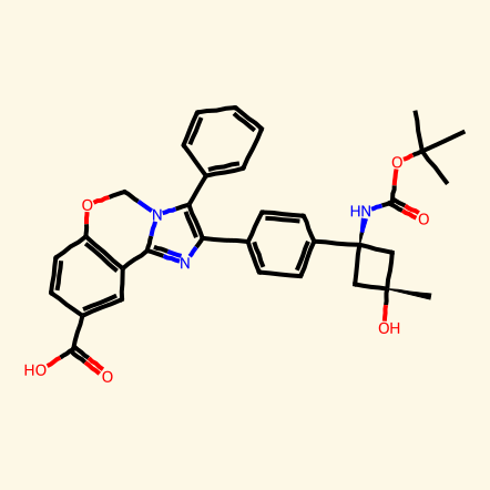 CC(C)(C)OC(=O)N[C@]1(c2ccc(-c3nc4n(c3-c3ccccc3)COc3ccc(C(=O)O)cc3-4)cc2)C[C@@](C)(O)C1